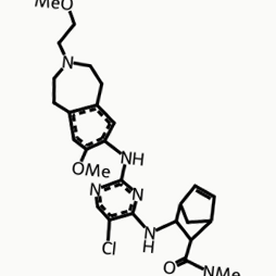 CNC(=O)C1C2C=CC(C2)C1Nc1nc(Nc2cc3c(cc2OC)CCN(CCOC)CC3)ncc1Cl